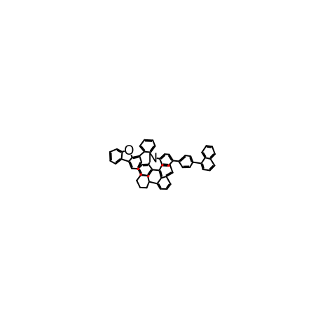 c1ccc(N(c2ccc(-c3ccc(-c4cccc5ccccc45)cc3)cc2)c2ccccc2-c2cccc3cccc(C4CCCCC4)c23)c(-c2cccc3c2oc2ccccc23)c1